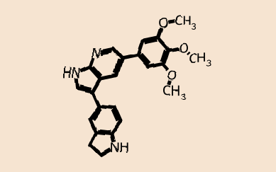 COc1cc(-c2cnc3[nH]cc(-c4ccc5c(c4)CCN5)c3c2)cc(OC)c1OC